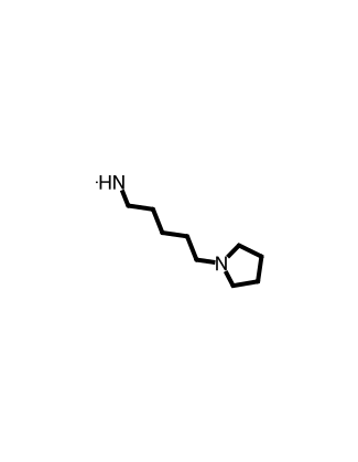 [NH]CCCCCN1CCCC1